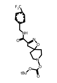 CC(C)(C)OC(=O)ON1CCC2(CC1)CC(C(=O)NCc1ccc(C(F)(F)F)cc1)=NO2